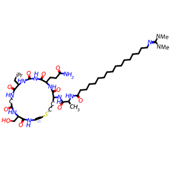 CNC(=NCCCCCCCCCCCCCCCCC(=O)NC(C)C(=O)NC1CCS/C=C\NC(=O)C(CO)NC(=O)CNC(=O)C(CC(C)C)NC(=O)NC(=O)C(CCC(N)=O)NC1=O)NC